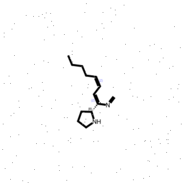 C=N/C(=C\C=C/CCCC)[C@H]1CCCN1